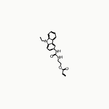 C=CC(=O)OCCNC(=O)Nc1ccc2c(c1)c1ccccc1n2CC